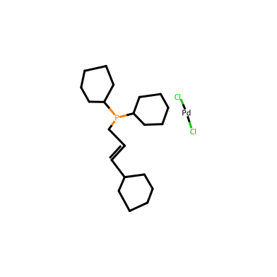 C(=CC1CCCCC1)CP(C1CCCCC1)C1CCCCC1.[Cl][Pd][Cl]